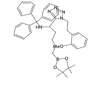 COc1ccccc1CCn1nnnc1C(CCCCB1OC(C)(C)C(C)(C)O1)NC(c1ccccc1)(c1ccccc1)c1ccccc1